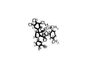 CC(C)[C@H]1CC[C@H](C)C[C@@H]1OC(=O)C1N(c2ccc(F)c(Br)c2)C=CC1(c1cc(Cl)c(Cl)c(Cl)c1)C(F)(F)F